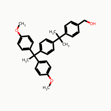 COc1ccc(C(C)(c2ccc(OC)cc2)c2ccc(C(C)(C)c3ccc(CO)cc3)cc2)cc1